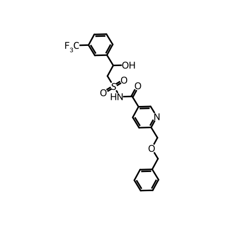 O=C(NS(=O)(=O)CC(O)c1cccc(C(F)(F)F)c1)c1ccc(COCc2ccccc2)nc1